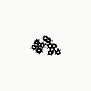 c1ccc(N(c2ccccc2)c2ccccc2-c2ccc3c4ccc5ccccc5c4n(-c4ccc5c(c4)-c4ccccc4C5(c4ccccc4)c4ccccc4)c3c2)cc1